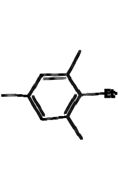 C[CH]c1c(C)cc(C)cc1C